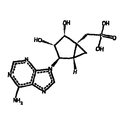 Nc1ncnc2c1ncn2[C@H]1[C@H](O)[C@H](O)[C@@]2(CP(=O)(O)O)C[C@H]12